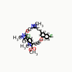 COC(=O)c1c2c3ccc(Cl)c(c3n1C)-c1c(nn(C)c1C)COCc1cc(n(C)n1)CCc1cc(c3ccc(F)cc3c1)OCCC2